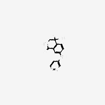 CC1(C)CNC(=O)c2cc(Nc3ccnnc3)ccc21